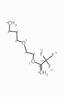 C=C(OCCOCCCC)C(F)(F)F